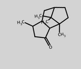 CC1CC(=O)C2C1CC1CCC2(C)C1(C)C